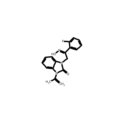 C=C(C)n1c(=O)n(C/C(=N\O)c2ccccc2F)c2ccccc21